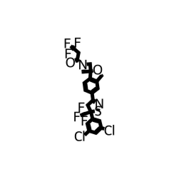 O=C(CC(F)(F)F)N1CC2(C1)OCc1cc(C3=NSC(c4cc(Cl)cc(Cl)c4)(C(F)(F)F)C3)ccc12